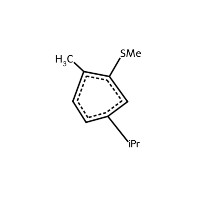 CSc1cc(C(C)C)ccc1C